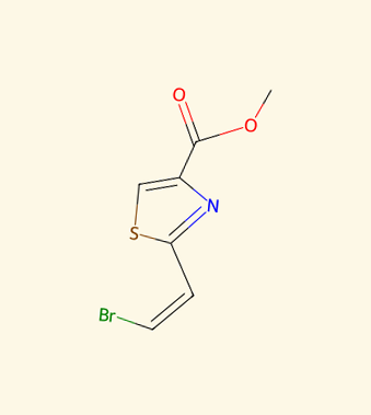 COC(=O)c1csc(/C=C\Br)n1